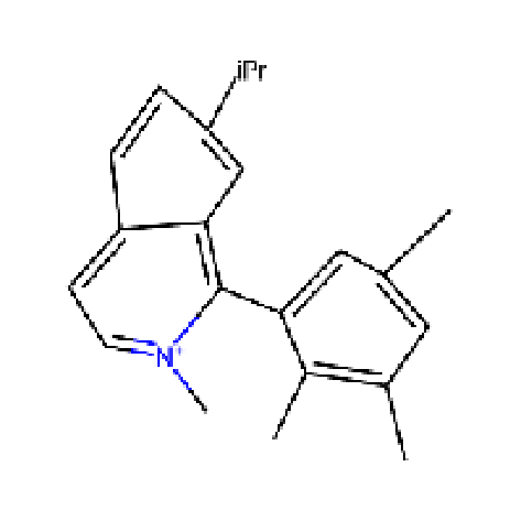 Cc1cc(C)c(C)c(-c2c3cc(C(C)C)ccc3cc[n+]2C)c1